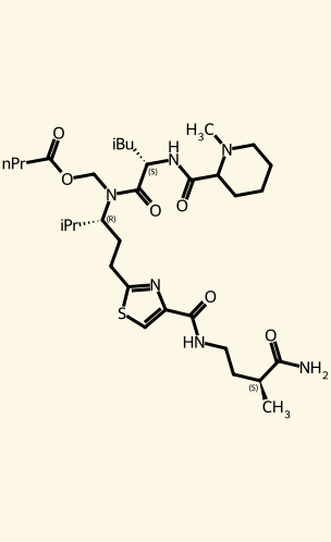 CCCC(=O)OCN(C(=O)[C@@H](NC(=O)C1CCCCN1C)C(C)CC)[C@H](CCc1nc(C(=O)NCC[C@H](C)C(N)=O)cs1)C(C)C